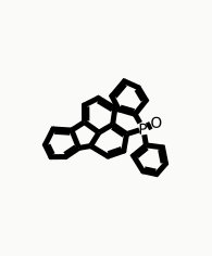 O=P(C1=C2C=CC=C3c4ccccc4C(C=C1)C32)(c1ccccc1)c1ccccc1